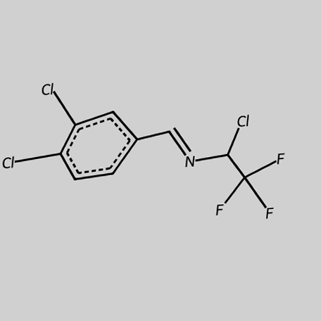 FC(F)(F)C(Cl)N=Cc1ccc(Cl)c(Cl)c1